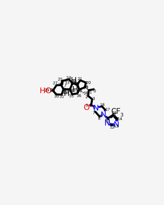 CC(CCC(=O)N1CCN(c2ncncc2C(F)(F)F)CC1)[C@H]1CC[C@H]2[C@@H]3CC=C4C[C@@H](O)CC[C@]4(C)[C@H]3CC[C@]12C